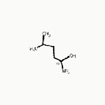 CC(C)CC[C@H](N)O